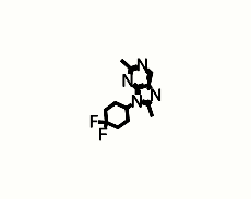 Cc1ncc2nc(C)n(C3CCC(F)(F)CC3)c2n1